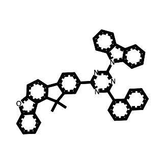 CC1(C)c2cc(-c3nc(-c4cccc5ccccc45)nc(-n4c5ccccc5c5ccccc54)n3)ccc2-c2ccc3oc4ccccc4c3c21